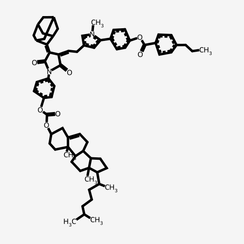 CCCc1ccc(C(=O)Oc2ccc(-c3cc(CC=C4C(=O)N(c5ccc(OC(=O)OC6CCC7(C)C(=CCC8C7CCC7(C)C(C(C)CCCC(C)C)CCC87)C6)cc5)C(=O)C4=C4C5CC6CC(C5)CC4C6)cn3C)cc2)cc1